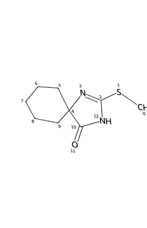 CSC1=NC2(CCCCC2)C(=O)N1